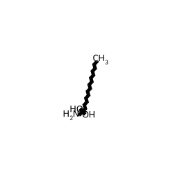 CCCCCCCCCCCCCCCCC(O)(O)CN